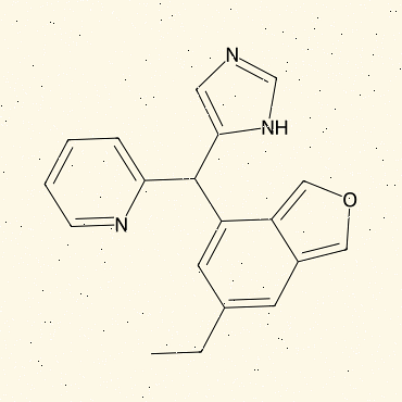 CCc1cc(C(c2ccccn2)c2cnc[nH]2)c2cocc2c1